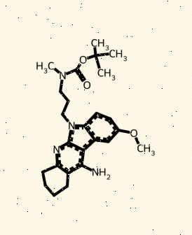 COc1ccc2c(c1)c1c(N)c3c(nc1n2CCCN(C)C(=O)OC(C)(C)C)CCCC3